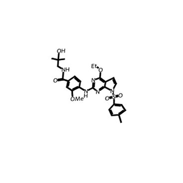 CCOc1nc(Nc2ccc(C(=O)NCC(C)(C)O)cc2OC)nc2c1ccn2S(=O)(=O)c1ccc(C)cc1